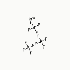 F[B-](F)(F)F.F[B-](F)(F)F.F[B-](F)(F)F.[In+3]